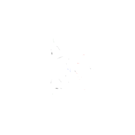 CC(C)(C)OC(=O)N(C[C@]1(c2cccc(Cl)c2)CC[C@H](O)CC1)C[C@]1(c2cccc(Cl)c2)CC[C@H](O)CC1